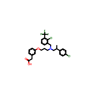 CC(CN(CCCOc1cccc(CC(=O)O)c1)Cc1cccc(C(F)(F)F)c1Cl)c1ccc(Cl)cc1